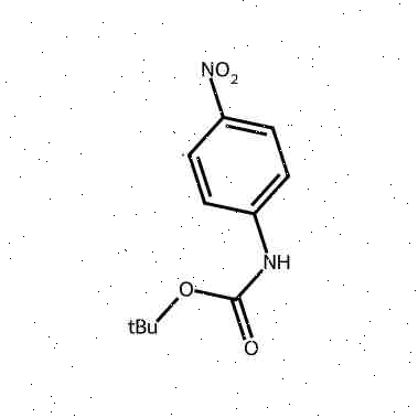 CC(C)(C)OC(=O)Nc1c[c]c([N+](=O)[O-])cc1